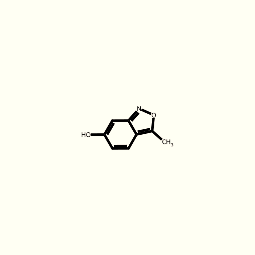 Cc1onc2cc(O)ccc12